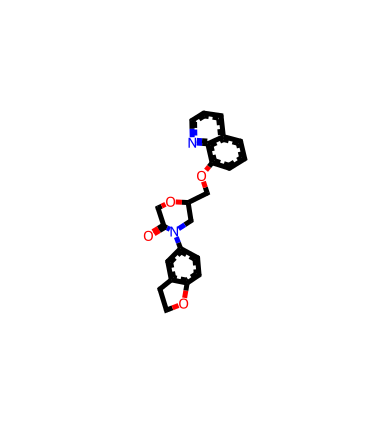 O=C1COC(COc2cccc3cccnc23)CN1c1ccc2c(c1)CCO2